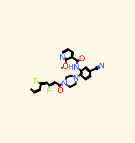 C\C=C/C(F)=C\C(F)=C\C(=O)N1CCN(c2ccc(C#N)cc2NC(=O)c2cccnc2OC)CC1